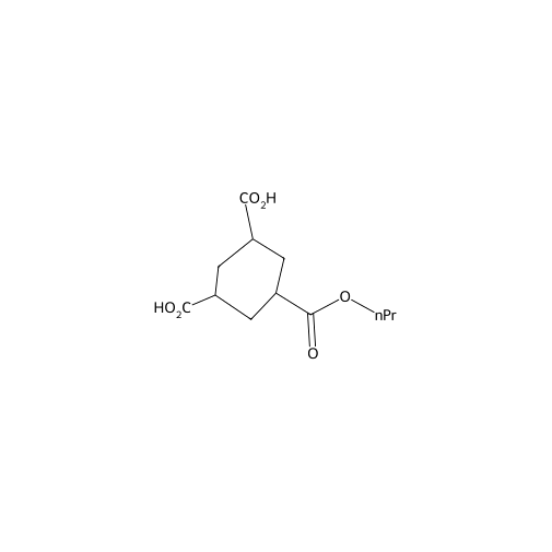 CCCOC(=O)C1CC(C(=O)O)CC(C(=O)O)C1